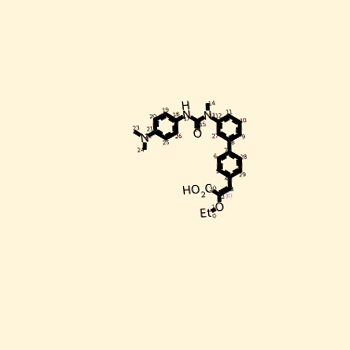 CCO/C(=C/c1ccc(-c2cccc(N(C)C(=O)Nc3ccc(N(C)C)cc3)c2)cc1)C(=O)O